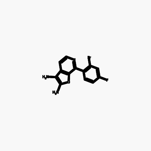 Nc1oc2c(-c3ccc(F)cc3Br)nccc2c1N